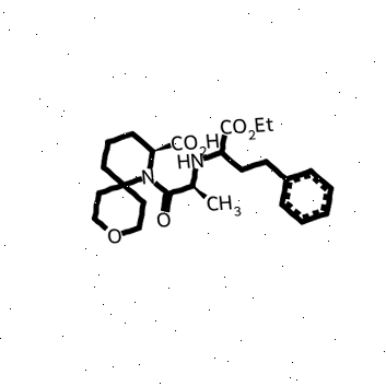 CCOC(=O)C(CCc1ccccc1)N[C@@H](C)C(=O)N1[C@H](C(=O)O)CCCC12CCOCC2